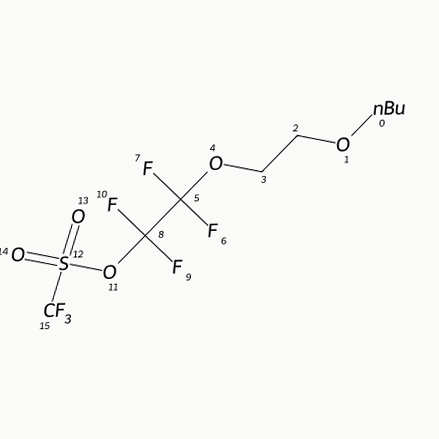 CCCCOCCOC(F)(F)C(F)(F)OS(=O)(=O)C(F)(F)F